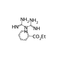 CCOC(=O)c1ccccc1.N=C(N)NC(=N)N